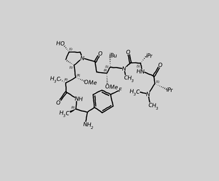 CCC(C)[C@@H]([C@@H](CC(=O)N1C[C@@H](O)C[C@H]1[C@H](OC)[C@@H](C)C(=O)N[C@H](C)C(N)c1ccc(F)cc1)OC)N(C)C(=O)[C@@H](NC(=O)[C@H](C(C)C)N(C)C)C(C)C